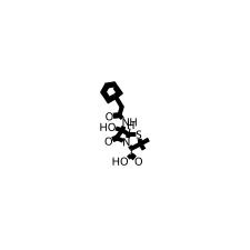 CC1(C)S[C@H]2N(C(=O)C2(O)NC(=O)Cc2ccccc2)[C@H]1C(=O)O